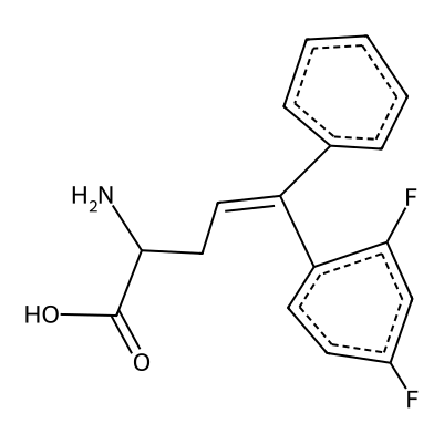 NC(CC=C(c1ccccc1)c1ccc(F)cc1F)C(=O)O